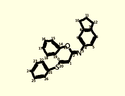 C(=CC(=Nc1ccc2c(c1)CCC2)Oc1ccccc1)Sc1ccccc1